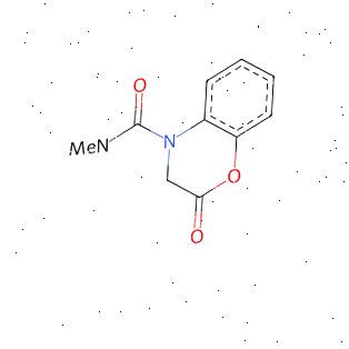 CNC(=O)N1CC(=O)Oc2ccccc21